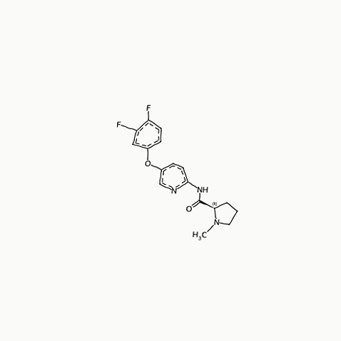 CN1CCC[C@@H]1C(=O)Nc1ccc(Oc2ccc(F)c(F)c2)cn1